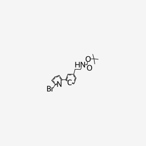 CC(C)(C)OC(=O)NCCc1cccc(-c2cccc(Br)n2)c1